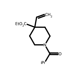 C=CC1(C(=O)OCC)CCN(C(=O)C(C)C)CC1